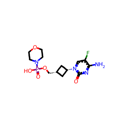 Nc1nc(=O)n([C@H]2C[C@@H](COP(=O)(O)N3CCOCC3)C2)cc1F